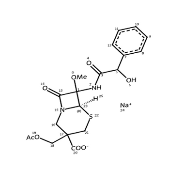 COC1(NC(=O)C(O)c2ccccc2)C(=O)N2CC(COC(C)=O)(C(=O)[O-])CS[C@@H]21.[Na+]